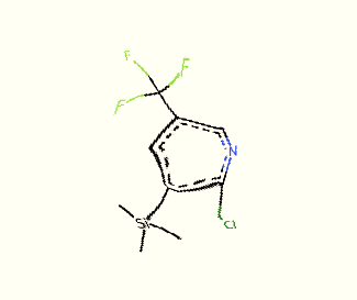 C[Si](C)(C)c1cc(C(F)(F)F)cnc1Cl